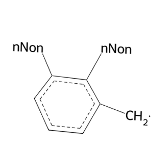 [CH2]c1cccc(CCCCCCCCC)c1CCCCCCCCC